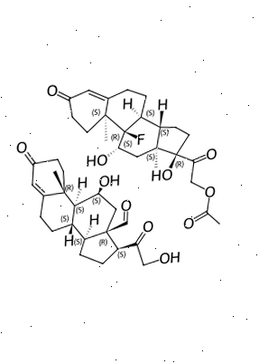 CC(=O)OCC(=O)[C@@]1(O)CC[C@H]2[C@@H]3CCC4=CC(=O)CC[C@]4(C)[C@@]3(F)[C@@H](O)C[C@@]21C.C[C@]12CCC(=O)C=C1CC[C@@H]1[C@@H]2[C@@H](O)C[C@]2(C=O)[C@@H](C(=O)CO)CC[C@@H]12